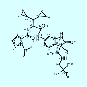 CC(C)n1nccc1C(=O)N[C@H](C(=O)Nc1ccc2c(c1)NC(=O)[C@]2(C)C(=O)NCC(F)(F)F)C(C1CC1)C1CC1